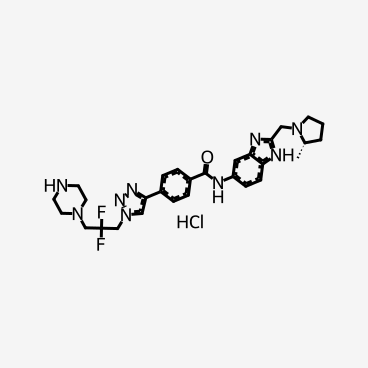 C[C@H]1CCCN1Cc1nc2cc(NC(=O)c3ccc(-c4cn(CC(F)(F)CN5CCNCC5)nn4)cc3)ccc2[nH]1.Cl